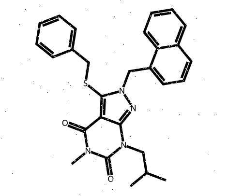 CC(C)Cn1c(=O)n(C)c(=O)c2c(SCc3ccccc3)n(Cc3cccc4ccccc34)nc21